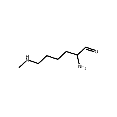 CNCCCCC(N)C=O